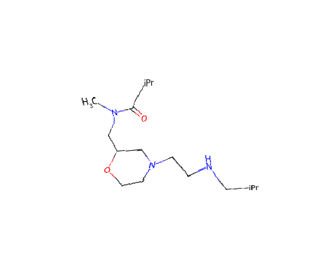 CC(C)CNCCN1CCOC(CN(C)C(=O)C(C)C)C1